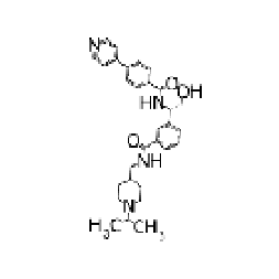 CC(C)N1CCC(CNC(=O)c2cccc([C@@H](CO)NC(=O)c3ccc(-c4ccncc4)cc3)c2)CC1